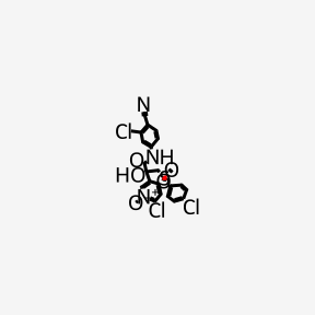 N#Cc1ccc(NC(=O)C(O)(CS(=O)(=O)c2ccc(Cl)cc2)c2ccc(Cl)[n+]([O-])c2)cc1Cl